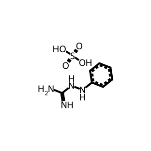 N=C(N)NNc1ccccc1.O=S(=O)(O)O